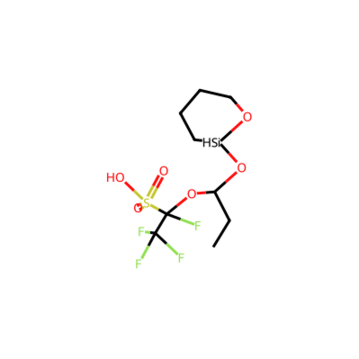 CCC(O[SiH]1CCCCO1)OC(F)(C(F)(F)F)S(=O)(=O)O